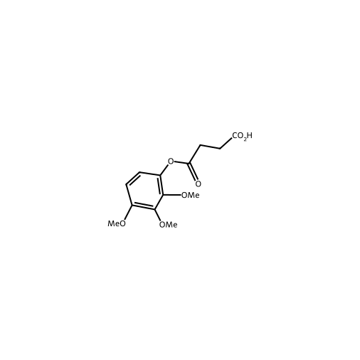 COc1ccc(OC(=O)CCC(=O)O)c(OC)c1OC